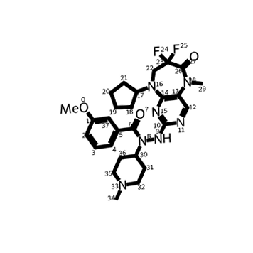 COc1cccc(C(=O)N(Nc2ncc3c(n2)N(C2CCCC2)CC(F)(F)C(=O)N3C)C2CCN(C)CC2)c1